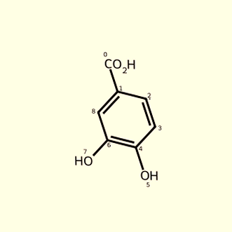 O=C(O)c1[c]cc(O)c(O)c1